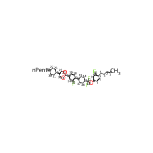 C/C=C/CCc1ccc(OC(F)(F)C2CCC(c3ccc(C4OCC(C5CCC(CCCCC)CC5)CO4)cc3F)CC2)cc1F